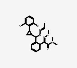 [CH2]N(C)C(=O)C(=NOC)c1ccccc1C(O/N=C/C)C1CC1c1c(Cl)cccc1Cl